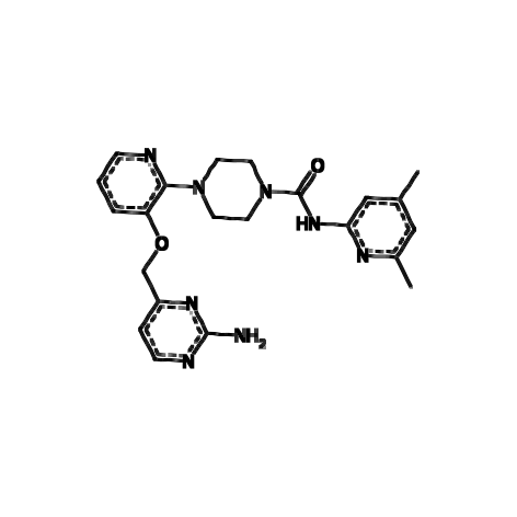 Cc1cc(C)nc(NC(=O)N2CCN(c3ncccc3OCc3ccnc(N)n3)CC2)c1